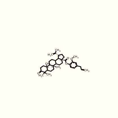 C=CCc1ccc(OC(=O)[C@@]23CCC4C(CCC5[C@@]4(C)CCC4C(C)(C)C(=O)CC[C@@]45C)C2[C@H](C(=C)C)CC3)c(OC)c1